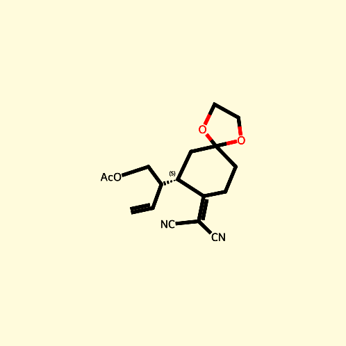 C=CC(COC(C)=O)[C@@H]1CC2(CCC1=C(C#N)C#N)OCCO2